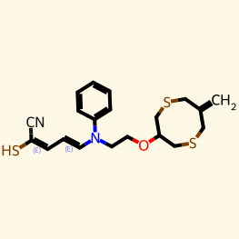 C=C1CSCC(OCCN(/C=C/C=C(/S)C#N)c2ccccc2)CSC1